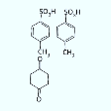 Cc1ccc(S(=O)(=O)O)cc1.Cc1ccc(S(=O)(=O)O)cc1.O=C1CCC(=O)CC1